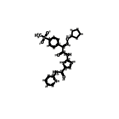 CS(=O)(=O)c1ccc(/C(=N\OC2CCCC2)C(=O)Nc2ncc(C(=O)Nc3ccccn3)s2)cc1